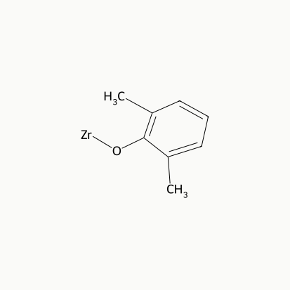 Cc1cccc(C)c1[O][Zr]